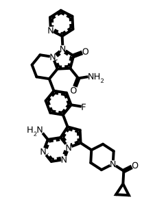 NC(=O)c1c2n(n(-c3ccccn3)c1=O)CCCC2c1ccc(-c2cc(C3CCN(C(=O)C4CC4)CC3)n3ncnc(N)c23)c(F)c1